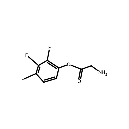 NCC(=O)Oc1ccc(F)c(F)c1F